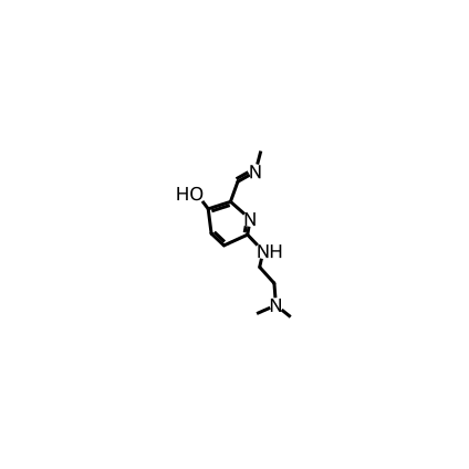 C/N=C/c1nc(NCCN(C)C)ccc1O